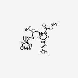 CC=C[C@@H]1C[C@H](C(=O)OC(C)C)N(CC(CCC)CNC(=O)COC)C1